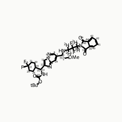 [2H]C([2H])(N[C@H](COC)c1cnn2cc([C@@H](NC(=O)OC(C)(C)C)C3CCC(F)(F)CC3)nc2c1)C(F)(F)C([2H])([2H])N1C(=O)c2ccccc2C1=O